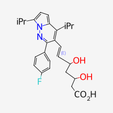 CC(C)c1c(/C=C/C(O)CC(O)CC(=O)O)c(-c2ccc(F)cc2)nn2c(C(C)C)ccc12